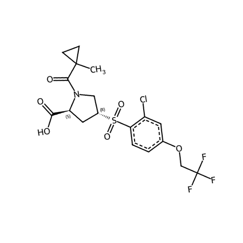 CC1(C(=O)N2C[C@H](S(=O)(=O)c3ccc(OCC(F)(F)F)cc3Cl)C[C@H]2C(=O)O)CC1